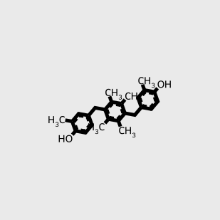 Cc1cc(Cc2c(C)c(C)c(Cc3ccc(O)c(C)c3)c(C)c2C)ccc1O